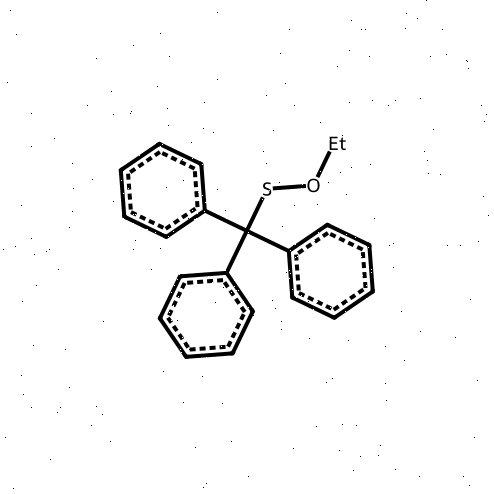 CCOSC(c1ccccc1)(c1ccccc1)c1ccccc1